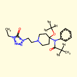 [2H]C([2H])([2H])OC1(N(C(=O)C([2H])([2H])C)c2ccccc2)CCN(CCn2nnn(CC)c2=O)CC1